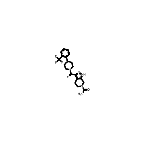 CC(=O)N1CCc2c(C(=O)N3CCC(c4ccccc4C(F)(F)F)CC3)n[nH]c2C1